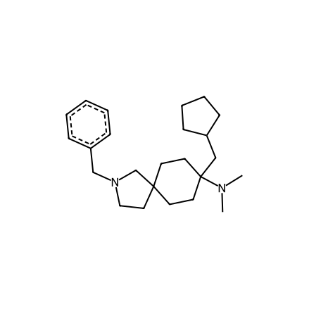 CN(C)C1(CC2CCCC2)CCC2(CCN(Cc3ccccc3)C2)CC1